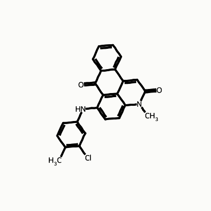 Cc1ccc(Nc2ccc3c4c(cc(=O)n3C)-c3ccccc3C(=O)c24)cc1Cl